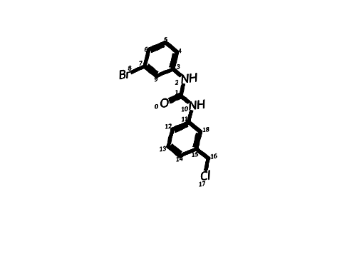 O=C(Nc1cccc(Br)c1)Nc1cccc(CCl)c1